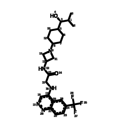 CC(C)[C@H](O)C1CCC(N2CC(NC(=O)CNc3cnnc4ccc(C(F)(F)F)cc34)C2)CC1